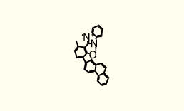 Cc1ccc2c(oc3c2ccc2c4ccccc4ccc23)c1-c1n(I)c2ccccc2[n+]1C